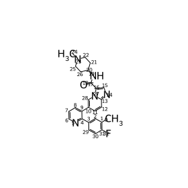 Cc1cc(-c2ncccc2-c2ccc3ncc(C(=O)NC4CCN(C)CC4)n3c2)ccc1F